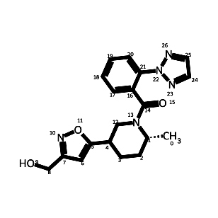 C[C@@H]1CCC(c2cc(CO)no2)CN1C(=O)c1ccccc1-n1nccn1